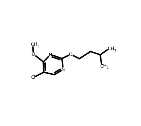 COc1nc(OCCC(C)C)ncc1Cl